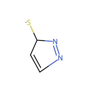 [S]C1C=CN=N1